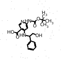 CC(C)(C)OC(=O)Nc1cc(NC(CO)c2ccccc2)c(C(=O)O)cn1